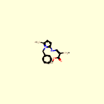 CCC(C)OC(=O)C(=CNc1ccc(C(=O)O)n1Cc1ccccc1)C(=O)O